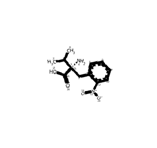 CC(C)[C@@](N)(Cc1ccccc1[N+](=O)[O-])C(=O)O